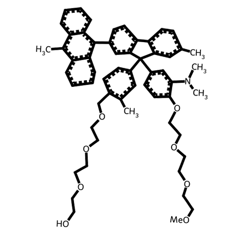 COCCOCCOCCOc1ccc(C2(c3ccc(COCCOCCOCCO)c(C)c3)c3cc(C)ccc3-c3ccc(-c4c5ccccc5c(C)c5ccccc45)cc32)cc1N(C)C